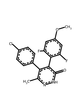 COc1cc(F)c(-c2c(-c3ccc(Cl)cc3)c(C)n[nH]c2=O)c(F)c1